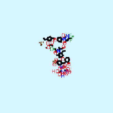 CCc1ccc(COc2ccc(-n3c(=O)cc(C(F)(F)F)n(C)c3=O)cc2)c(OC(C)C(=O)OC)c1.CCc1cccc(C)c1N(C(=O)CCl)C(C)COC.CS(=O)(=O)c1ccc(C(=O)C2C(=O)CCCC2=O)c([N+](=O)[O-])c1.C[S+](C)C.O=C(O)CNCP(=O)([O-])O